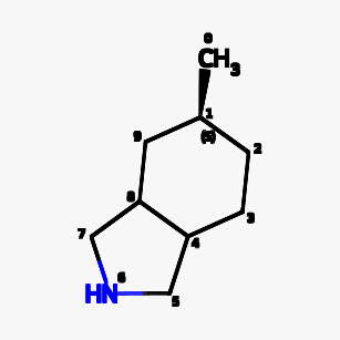 C[C@H]1CCC2CNCC2C1